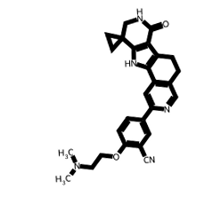 CN(C)CCOc1ccc(-c2cc3c(cn2)CCc2c-3[nH]c3c2C(=O)NCC32CC2)cc1C#N